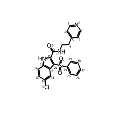 O=C(NCCc1ccncc1)c1[nH]c2ccc(Cl)cc2c1S(=O)(=O)c1ccccc1